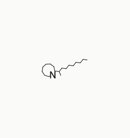 CCCCCCCCC(C)C1CCCCCCCN1C